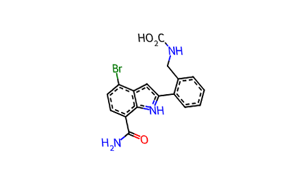 NC(=O)c1ccc(Br)c2cc(-c3ccccc3CNC(=O)O)[nH]c12